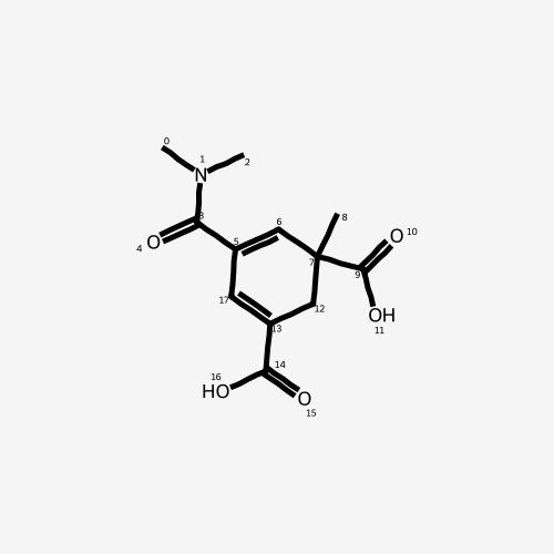 CN(C)C(=O)C1=CC(C)(C(=O)O)CC(C(=O)O)=C1